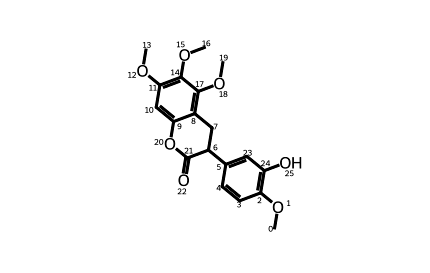 COc1ccc(C2Cc3c(cc(OC)c(OC)c3OC)OC2=O)cc1O